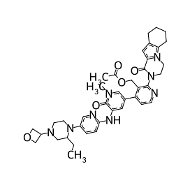 CCC1CN(C2COC2)CCN1c1ccc(Nc2cc(-c3ccnc(N4CCn5c(cc6c5CCCC6)C4=O)c3COC(C)=O)cn(C)c2=O)nc1